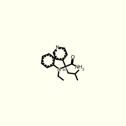 CCN(c1ccccc1)[C@@](CC(C)C)(C(N)=O)c1ccncc1